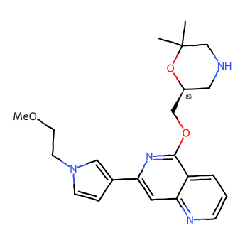 COCCn1ccc(-c2cc3ncccc3c(OC[C@@H]3CNCC(C)(C)O3)n2)c1